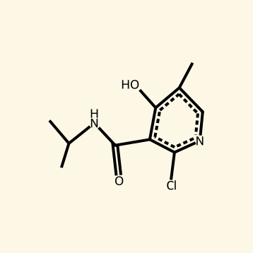 Cc1cnc(Cl)c(C(=O)NC(C)C)c1O